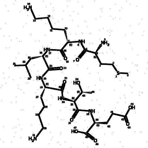 CSCC[C@H](N)C(=O)N[C@@H](CCCCN)C(=O)N[C@@H](CC(C)C)C(=O)N[C@@H](CCCCN)C(=O)N[C@H](C(=O)N[C@@H](CCC(=O)O)C(=O)O)[C@@H](C)O